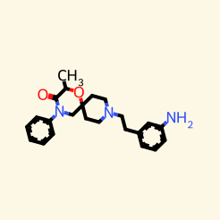 CC1OC2(CCN(CCc3cccc(N)c3)CC2)CN(c2ccccc2)C1=O